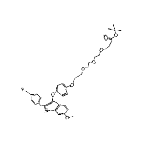 COc1ccc2c(Oc3ccc(OCCOCCOCCOCC(=O)OC(C)(C)C)cc3)c(-c3ccc(F)cc3)sc2c1